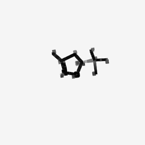 CC1=NO[C@@H](C(C)(C)C)C1